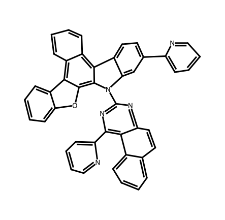 c1ccc(-c2ccc3c4c5ccccc5c5c6ccccc6oc5c4n(-c4nc(-c5ccccn5)c5c(ccc6ccccc65)n4)c3c2)nc1